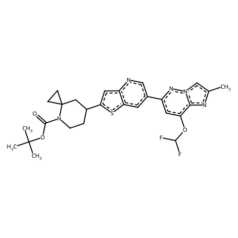 Cc1cn2nc(-c3cnc4cc(C5CCN(C(=O)OC(C)(C)C)C6(CC6)C5)sc4c3)cc(OC(F)F)c2n1